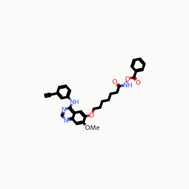 C#Cc1cccc(Nc2ncnc3cc(OC)c(OCCCCCCC(=O)NOC(=O)c4ccccc4)cc23)c1